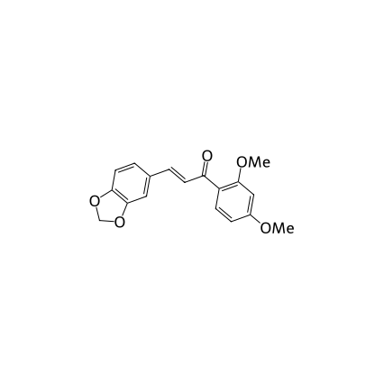 COc1ccc(C(=O)C=Cc2ccc3c(c2)OCO3)c(OC)c1